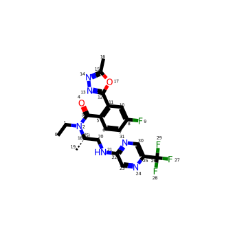 CCN(C(=O)c1ccc(F)cc1-c1nnc(C)o1)[C@@H](C)CNc1cnc(C(F)(F)F)cn1